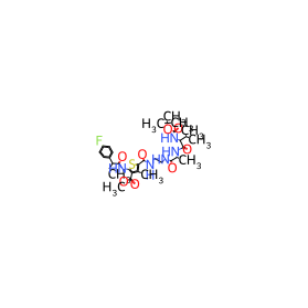 CCC(C(=O)Nc1sc(C(=O)NCCNC(=O)[C@H](C)NC(=O)[C@@H](NC(=O)OC(C)(C)C)C(C)C)c(C)c1C(=O)OC)c1ccc(F)cc1